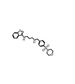 O=S(=O)(c1ccc(CNCCCNc2nsc3ccccc23)cc1)N1CCOCC1